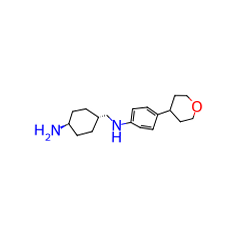 N[C@H]1CC[C@H](CNc2ccc(C3CCOCC3)cc2)CC1